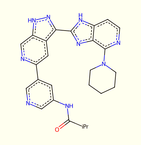 CC(C)C(=O)Nc1cncc(-c2cc3c(-c4nc5c(N6CCCCC6)nccc5[nH]4)n[nH]c3cn2)c1